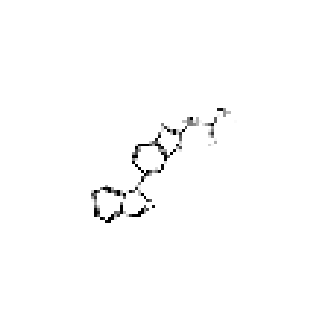 CC(=O)Nc1nc2ccc(-n3ncc4ccccc43)cc2s1